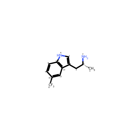 C[C@@H](N)Cc1c[nH]c2ccc(C(F)(F)F)cc12